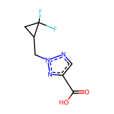 O=C(O)c1cnn(CC2CC2(F)F)n1